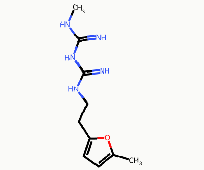 CNC(=N)NC(=N)NCCc1ccc(C)o1